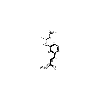 CNC[C@@H](C)Oc1cccc(/C=C/C(=O)SC)c1